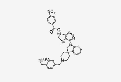 CC(=O)NCc1ccc(CN2CCC3(CC2)CN(c2ncnc4c2[C@H](C)C[C@H]4OC(=O)c2ccc([N+](=O)[O-])cc2)c2ccccc23)cc1